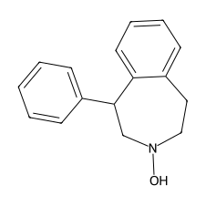 ON1CCc2ccccc2C(c2ccccc2)C1